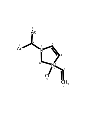 C=C[N+]1(Cl)C=CN(C(C(C)=O)C(C)=O)C1